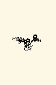 O=C(O)NCCN(CCc1c[nH]c2ccccc12)C1CCc2cc(C=CC(=O)NO)ccc21